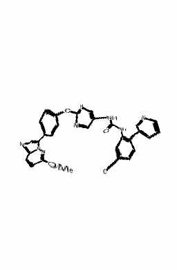 COc1ccc2ncc(-c3ccc(Oc4ncc(NC(=O)Nc5cc(Cl)ccc5-c5cccnc5)cn4)cc3)n2n1